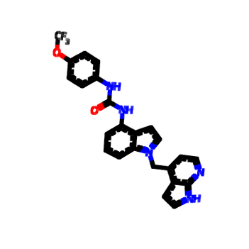 O=C(Nc1ccc(OC(F)(F)F)cc1)Nc1cccc2c1ccn2Cc1ccnc2[nH]ccc12